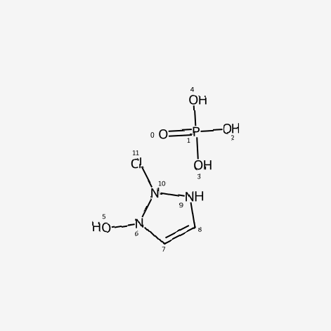 O=P(O)(O)O.ON1C=CNN1Cl